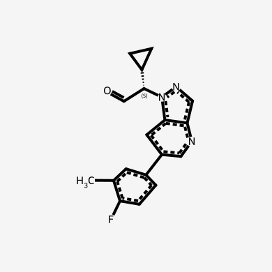 Cc1cc(-c2cnc3cnn([C@H](C=O)C4CC4)c3c2)ccc1F